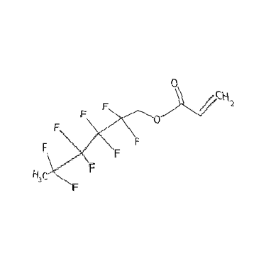 C=CC(=O)OCC(F)(F)C(F)(F)C(F)(F)C(C)(F)F